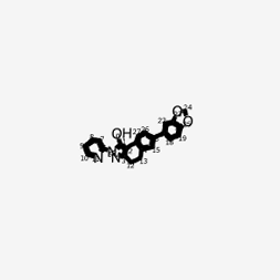 Oc1c2c(nn1-c1ccccn1)CCc1cc(-c3ccc4c(c3)OCO4)ccc1-2